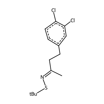 C/C(CCc1ccc(Cl)c(Cl)c1)=N\SC(C)(C)C